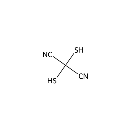 N#CC(S)(S)C#N